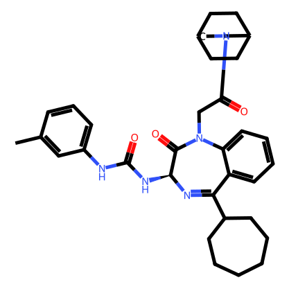 Cc1cccc(NC(=O)N[C@@H]2N=C(C3CCCCCC3)c3ccccc3N(CC(=O)N3CC4CCC(CC4)C3)C2=O)c1